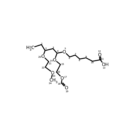 CCC(CC(OCCCCCC(=O)O)OCCOC=O)OCCOC